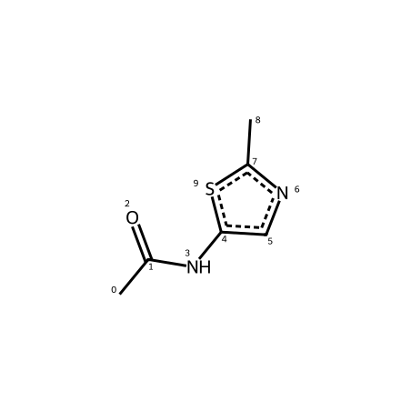 CC(=O)Nc1cnc(C)s1